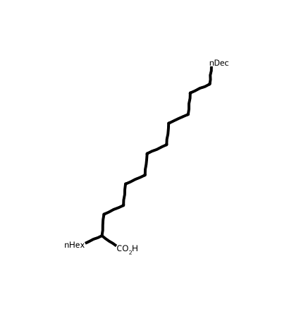 CCCCCCCCCCCCCCCCCCCCC(CCCCCC)C(=O)O